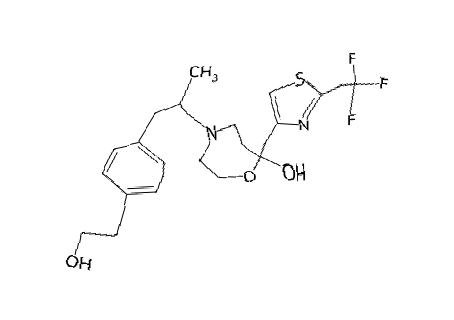 CC(Cc1ccc(CCO)cc1)N1CCOC(O)(c2csc(C(F)(F)F)n2)C1